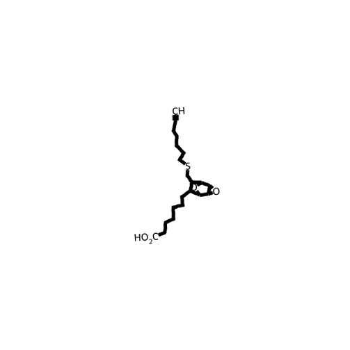 C#CCCCCCSCC1C(CCCCCCC(=O)O)C2OC1C1OC21